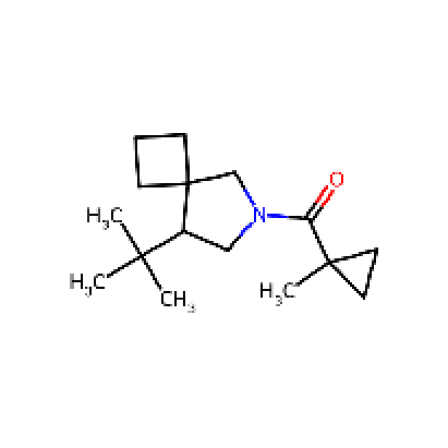 CC1(C(=O)N2CC(C(C)(C)C)C3(CCC3)C2)CC1